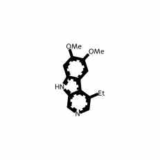 CCc1cncc2[nH]c3cc(OC)c(OC)cc3c12